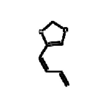 C=C/C=C\C1=COCO1